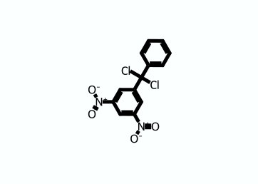 O=[N+]([O-])c1cc([N+](=O)[O-])cc(C(Cl)(Cl)c2ccccc2)c1